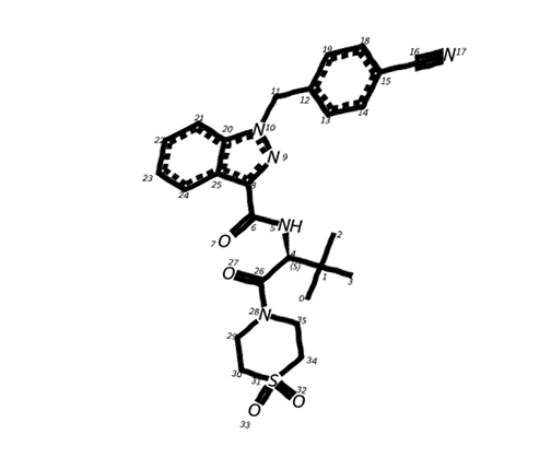 CC(C)(C)[C@H](NC(=O)c1nn(Cc2ccc(C#N)cc2)c2ccccc12)C(=O)N1CCS(=O)(=O)CC1